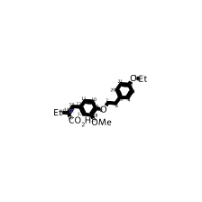 CCOc1ccc(CCOc2ccc(/C=C(/CC)C(=O)O)cc2OC)cc1